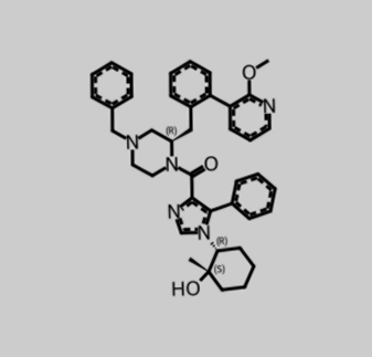 COc1ncccc1-c1ccccc1C[C@@H]1CN(Cc2ccccc2)CCN1C(=O)c1ncn([C@@H]2CCCC[C@]2(C)O)c1-c1ccccc1